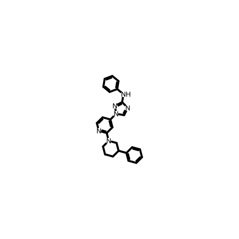 c1ccc(Nc2ncn(-c3ccnc(N4CCCC(c5ccccc5)C4)c3)n2)cc1